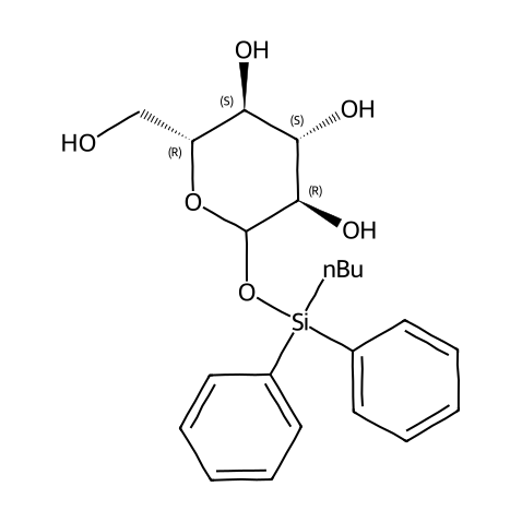 CCCC[Si](OC1O[C@H](CO)[C@@H](O)[C@H](O)[C@H]1O)(c1ccccc1)c1ccccc1